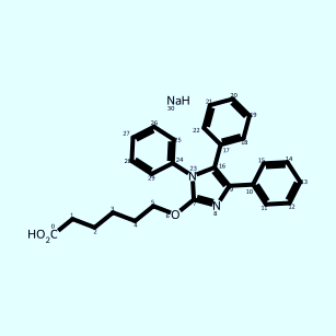 O=C(O)CCCCCOc1nc(-c2ccccc2)c(-c2ccccc2)n1-c1ccccc1.[NaH]